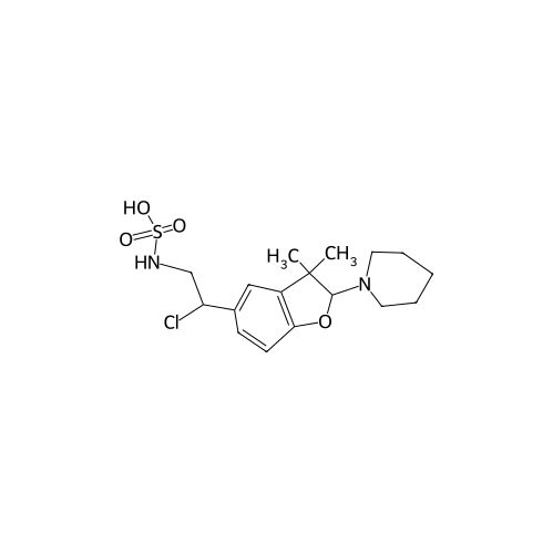 CC1(C)c2cc(C(Cl)CNS(=O)(=O)O)ccc2OC1N1CCCCC1